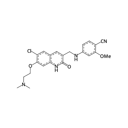 COc1cc(NCc2cc3cc(Cl)c(OCCN(C)C)cc3[nH]c2=O)ccc1C#N